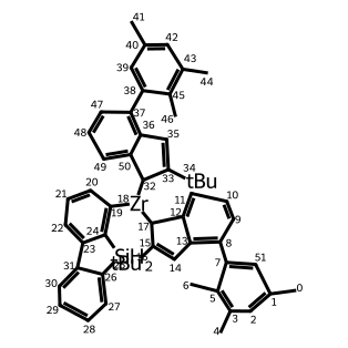 Cc1cc(C)c(C)c(-c2cccc3c2C=C(C(C)(C)C)[CH]3[Zr]([c]2cccc3c2[SiH2]c2ccccc2-3)[CH]2C(C(C)(C)C)=Cc3c(-c4cc(C)cc(C)c4C)cccc32)c1